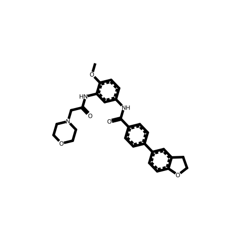 COc1ccc(NC(=O)c2ccc(-c3ccc4c(c3)CCO4)cc2)cc1NC(=O)CN1CCOCC1